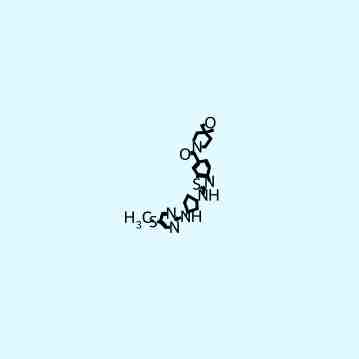 CSc1cnc(N[C@H]2CC[C@H](Nc3nc4ccc(C(=O)N5CCC6(CC5)COC6)cc4s3)C2)nc1